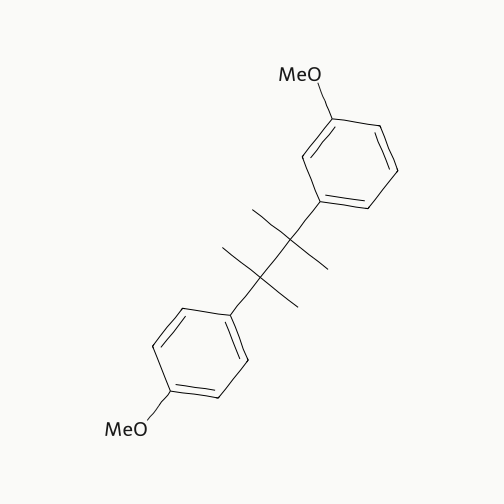 COc1ccc(C(C)(C)C(C)(C)c2cccc(OC)c2)cc1